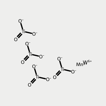 [Mn+2].[O]=[Ti]([O-])[O-].[O]=[Ti]([O-])[O-].[O]=[Ti]([O-])[O-].[O]=[Ti]([O-])[O-].[W+6]